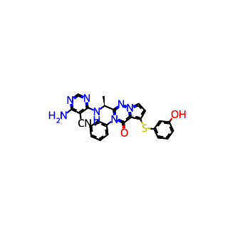 C[C@H](Nc1ncnc(N)c1C#N)c1nn2ccc(Sc3cccc(O)c3)c2c(=O)n1-c1ccccc1